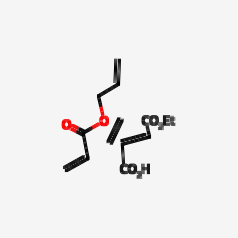 C=C.C=CCOC(=O)C=C.CCOC(=O)C=CC(=O)O